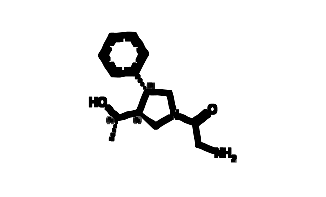 C[C@H](O)[C@@H]1CN(C(=O)CN)C[C@H]1c1ccccc1